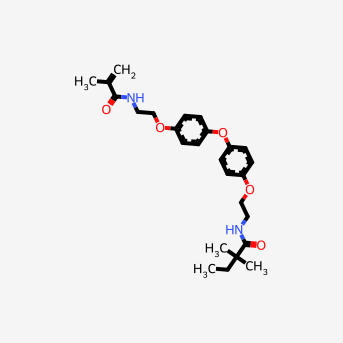 C=C(C)C(=O)NCCOc1ccc(Oc2ccc(OCCNC(=O)C(C)(C)CC)cc2)cc1